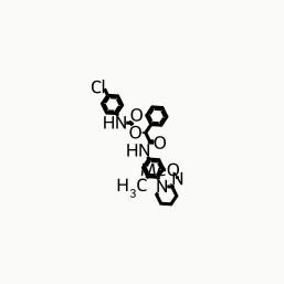 CO/N=C1/CCCCN1c1ccc(NC(=O)[C@H](OC(=O)Nc2ccc(Cl)cc2)c2ccccc2)cc1C